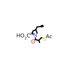 C#CCC1C[C@@H](C(=O)O)N(C(=O)C(C)CSC(C)=O)C1